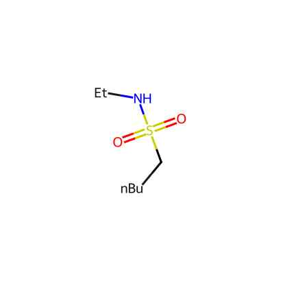 [CH2]CNS(=O)(=O)CCCCC